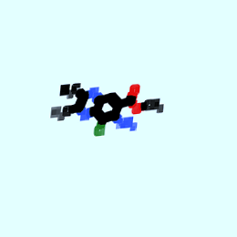 COC(=O)c1cc2nc(C)c(C)nc2c(Cl)c1N